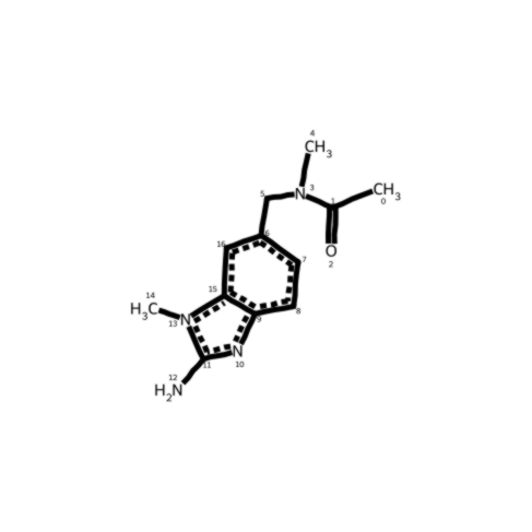 CC(=O)N(C)Cc1ccc2nc(N)n(C)c2c1